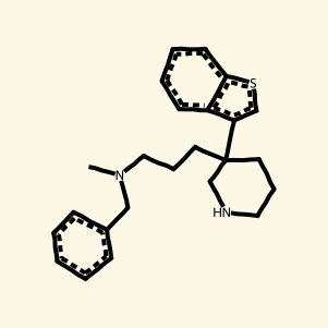 CN(CCCC1(c2csc3ccccc23)CCCNC1)Cc1ccccc1